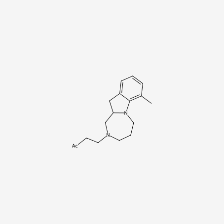 CC(=O)CCN1CCCN2c3c(C)cccc3CC2C1